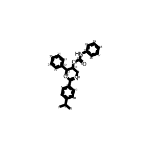 CC(C)c1ccc(C2=NCC(OC(=O)Nc3ccccc3)C(c3ccccc3)O2)cc1